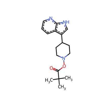 CC(C)(C)C(=O)ON1CCC(c2c[nH]c3ncccc23)CC1